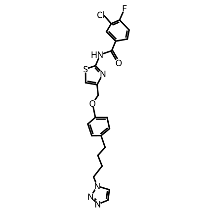 O=C(Nc1nc(COc2ccc(CCCCn3ccnn3)cc2)cs1)c1ccc(F)c(Cl)c1